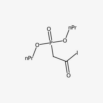 CCCOP(=O)(CC(=O)I)OCCC